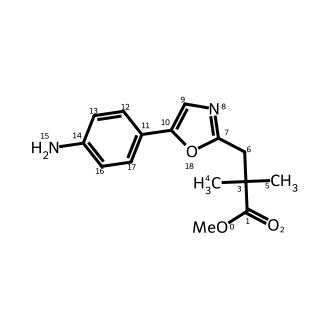 COC(=O)C(C)(C)Cc1ncc(-c2ccc(N)cc2)o1